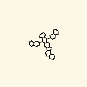 c1ccc2cc(-c3c4ccccc4c(-c4ccc5ccccc5c4)c4cc5c(cc34)oc3c4ccccc4ccc53)ccc2c1